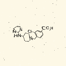 O=C(O)c1ccc(CN2CCC(Nc3ncccn3)CC2)c(Cl)c1